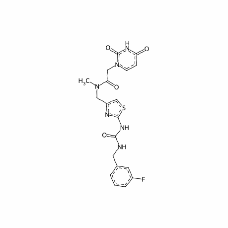 CN(Cc1csc(NC(=O)NCc2cccc(F)c2)n1)C(=O)Cn1ccc(=O)[nH]c1=O